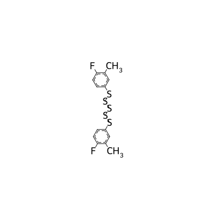 Cc1cc(SSSSSc2ccc(F)c(C)c2)ccc1F